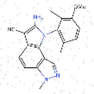 COc1ccc(C)c(-n2c(N)c(C#N)c3ccc4c(cnn4C)c32)c1C